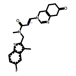 Cc1c(CN(C)C(=O)/C=C/N2C=NC3=C(CCC(=O)C3)C2)sc2ccc(F)cc12